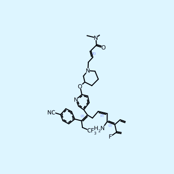 C=C/C(C(=C)F)=C(N)\C=C/C/C(=C(\CC(F)(F)F)c1ccc(C#N)cc1)c1ccc(OC2CCCN(C/C=C/C(=O)N(C)C)C2)nc1